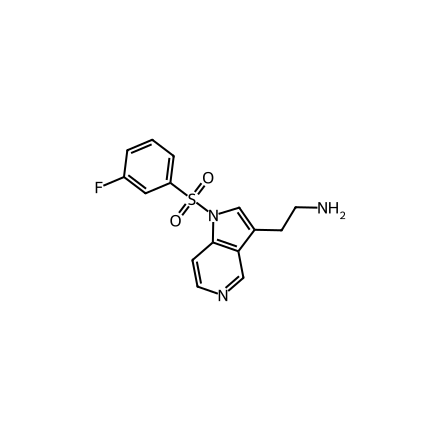 NCCc1cn(S(=O)(=O)c2cccc(F)c2)c2ccncc12